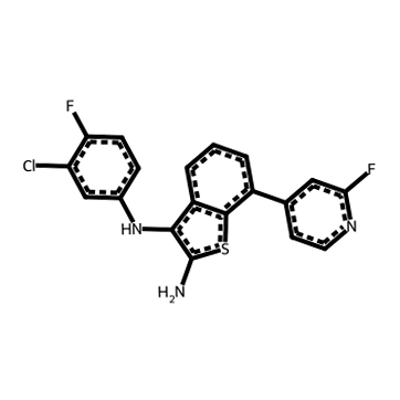 Nc1sc2c(-c3ccnc(F)c3)cccc2c1Nc1ccc(F)c(Cl)c1